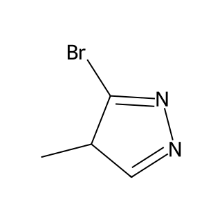 CC1C=NN=C1Br